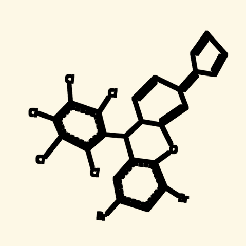 Clc1c(Cl)c(Cl)c(C2c3cc(Br)cc(Br)c3OC3=CC(=C4C=CC=C4)C=CC32)c(Cl)c1Cl